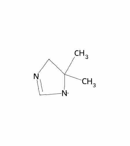 CC1(C)CN=C[N]1